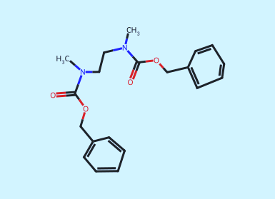 CN(CCN(C)C(=O)OCc1ccccc1)C(=O)OCc1ccccc1